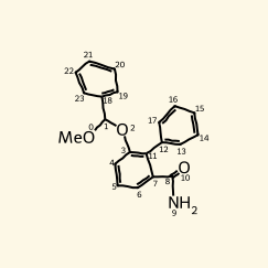 COC(Oc1cccc(C(N)=O)c1-c1ccccc1)c1ccccc1